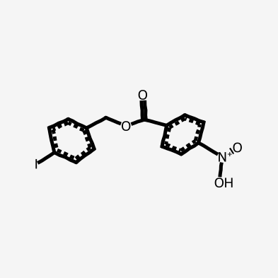 O=C(OCc1ccc(I)cc1)c1ccc([N+](=O)O)cc1